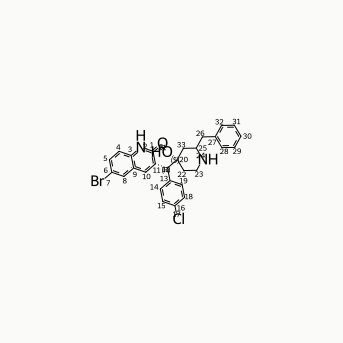 O=c1[nH]c2ccc(Br)cc2cc1[C@@H](c1ccc(Cl)cc1)[C@]1(O)CCNC(Cc2ccccc2)C1